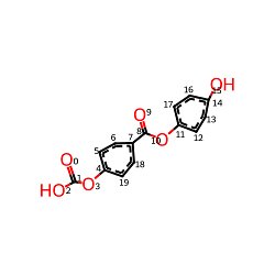 O=C(O)Oc1ccc(C(=O)Oc2ccc(O)cc2)cc1